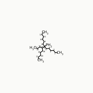 CCCCCCC(P)(CCCCCC)C(CCC)CCCCC